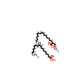 CCCCC/C=C\C/C=C\CCCCCCC(CC)C(=O)O.CCCCC/C=C\C/C=C\CCCCCCCC(=O)O